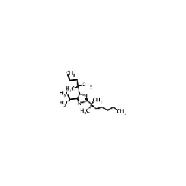 CCCCCC(C)(C)C1=NC(C(C)(C)CCC)C(C(C)C)=N1